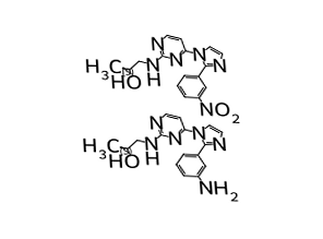 C[C@H](O)CNc1nccc(-n2ccnc2-c2cccc(N)c2)n1.C[C@H](O)CNc1nccc(-n2ccnc2-c2cccc([N+](=O)[O-])c2)n1